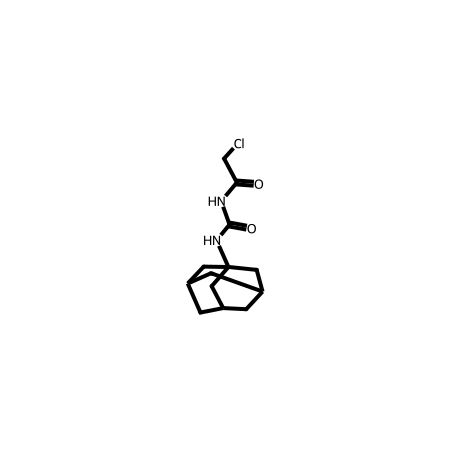 O=C(CCl)NC(=O)NC12CC3CC(CC(C3)C1)C2